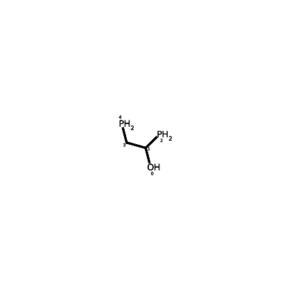 OC(P)CP